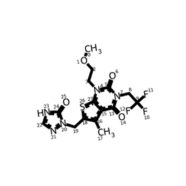 COCCn1c(=O)n(CC(F)(F)F)c(=O)c2c(C)c(Cn3nc[nH]c3=O)sc21